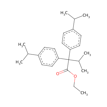 CCOC(=O)C(c1ccc(C(C)C)cc1)(c1ccc(C(C)C)cc1)C(C)C